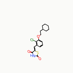 O=C1NC(=O)/C(=C/c2cccc(OCCC3CCCCC3)c2Cl)S1